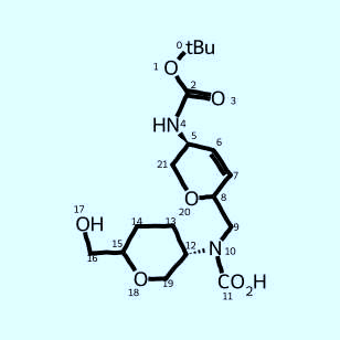 CC(C)(C)OC(=O)N[C@H]1C=CC(CN(C(=O)O)[C@H]2CCC(CO)OC2)OC1